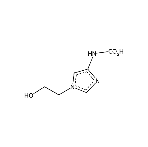 O=C(O)Nc1cn(CCO)cn1